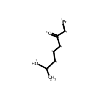 CC(C)CC(=O)CCCC(C)O